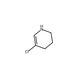 ClC1=CNCCC1